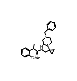 COc1ccccc1C(C)C(=O)NCC1(N2CCN(Cc3ccccc3)CC2)CC1